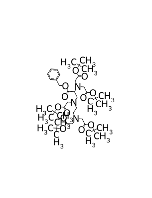 CC(C)(C)OC(=O)CN(CCN(CC(=O)OC(C)(C)C)CC(C(=O)OCc1ccccc1)N(CC(=O)OC(C)(C)C)CC(=O)OC(C)(C)C)CC(=O)OC(C)(C)C